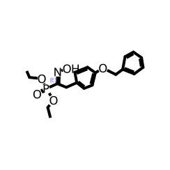 CCOP(=O)(OCC)/C(Cc1ccc(OCc2ccccc2)cc1)=N/O